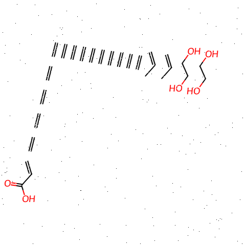 C=C.C=C.C=C.C=C.C=C.C=C.C=C.C=C.C=C.C=C.C=C.C=C.C=C.C=C.C=CC.C=CC.C=CC(=O)O.OCCO.OCCO